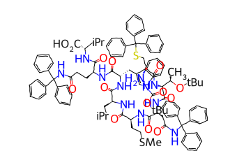 CSCC[C@H](NC(=O)[C@H](CC(=O)NC(c1ccccc1)(c1ccccc1)c1ccccc1)NC(=O)[C@@H](NC(=O)[C@@H](N)CSC(c1ccccc1)(c1ccccc1)c1ccccc1)[C@@H](C)OC(C)(C)C)C(=O)N[C@@H](CC(C)C)C(=O)N[C@@H](Cc1cn(C(=O)OC(C)(C)C)c2ccccc12)C(=O)N[C@@H](CCC(=O)NC(c1ccccc1)(c1ccccc1)c1ccccc1)C(=O)N[C@H](C(=O)O)C(C)C